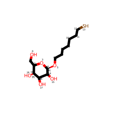 OCC1O[C@@H](OCCCCCCCS)C(O)C(O)[C@H]1O